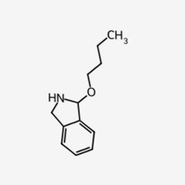 CCCCOC1NCc2ccccc21